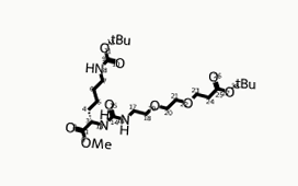 COC(=O)[C@H](CCCCNC(=O)OC(C)(C)C)NC(=O)NCCOCCOCCC(=O)OC(C)(C)C